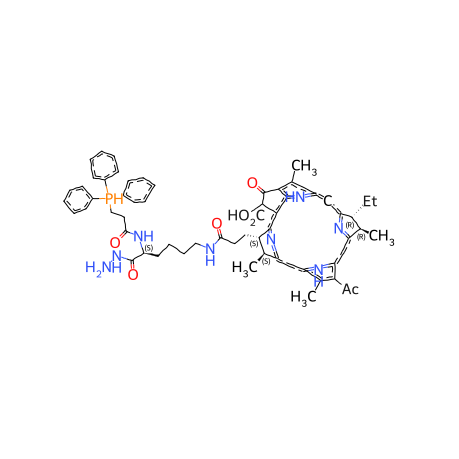 CC[C@H]1c2cc3[nH]c4c(c3C)C(=O)C(C(=O)O)c4c3nc(cc4[nH]c(cc(n2)[C@@H]1C)c(C(C)=O)c4C)[C@@H](C)[C@@H]3CCC(=O)NCCCC[C@H](NC(=O)CC[PH](c1ccccc1)(c1ccccc1)c1ccccc1)C(=O)NN